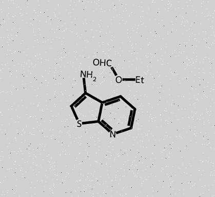 CCOC=O.Nc1csc2ncccc12